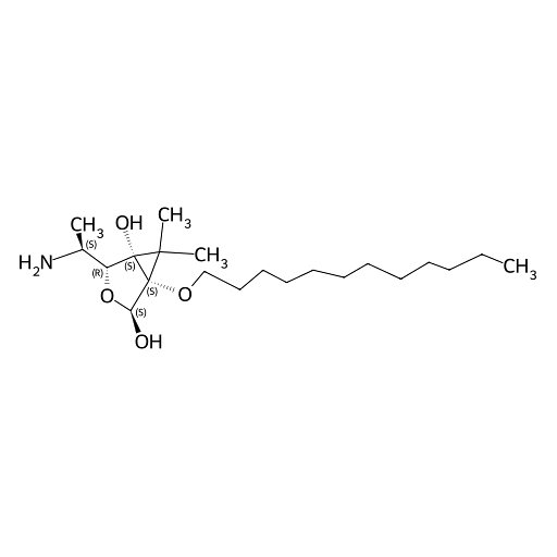 CCCCCCCCCCCCO[C@]12[C@@H](O)O[C@H]([C@H](C)N)[C@@]1(O)C2(C)C